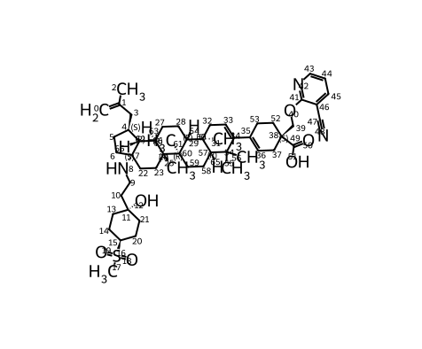 C=C(C)C[C@@H]1CC[C@]2(NCC[C@]3(O)CC[C@H](S(C)(=O)=O)CC3)CC[C@]3(C)[C@H](CC[C@@H]4[C@@]5(C)CC=C(C6=CC[C@@](COc7ncccc7C#N)(C(=O)O)CC6)C(C)(C)[C@@H]5CC[C@]43C)[C@@H]12